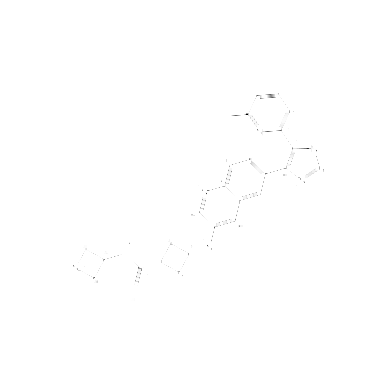 Cc1cccc(-c2[nH]cnc2-c2ccc3ncc(N[C@H]4C[C@@H](C(=O)OC5CNC5)C4)cc3c2)n1